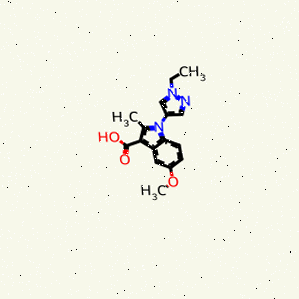 CCn1cc(-n2c(C)c(C(=O)O)c3cc(OC)ccc32)cn1